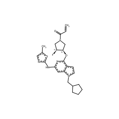 C=CC(=O)N1C[C@H](F)[C@H](Oc2nc(Nc3ncc(C)s3)cc3c2ccn3CC2CCCC2)C1